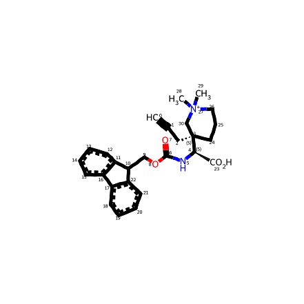 C#CC[C@@]1([C@H](NC(=O)OCC2c3ccccc3-c3ccccc32)C(=O)O)CCC[N+](C)(C)C1